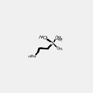 CCCCCC[Si](O)(O)OC